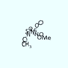 COC(=O)N1CCN(C(=O)c2nc(-c3ccc(C)cc3)cs2)[C@@H](CCOc2ccccc2)C1